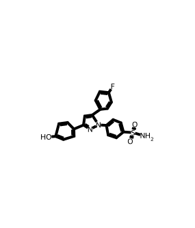 NS(=O)(=O)c1ccc(-n2nc(-c3ccc(O)cc3)cc2-c2ccc(F)cc2)cc1